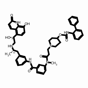 C[C@@H](Cc1cccc(NC(=O)c2cccc(N(C)C(=O)CCN3CCC(OC(=O)Nc4ccccc4-c4ccccc4)CC3)c2)c1)NC[C@H](O)c1ccc(O)c2[nH]c(=O)ccc12